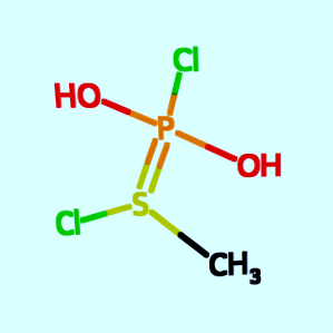 CS(Cl)=P(O)(O)Cl